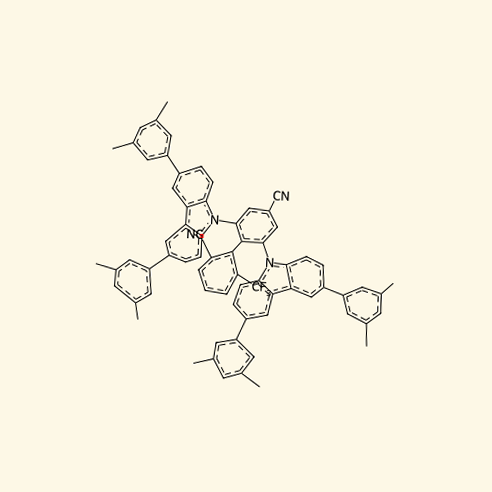 Cc1cc(C)cc(-c2ccc3c(c2)c2cc(-c4cc(C)cc(C)c4)ccc2n3-c2cc(C#N)cc(-n3c4ccc(-c5cc(C)cc(C)c5)cc4c4cc(-c5cc(C)cc(C)c5)ccc43)c2-c2c(C#N)cccc2C(F)(F)F)c1